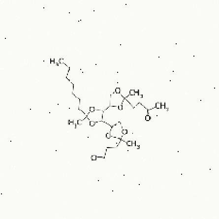 CCCCCCCC1(C)OC(C2COC(C)(CCC=O)O2)C(C2COC(C)(CCC(C)=O)O2)O1